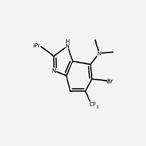 CC(C)c1nc2cc(C(F)(F)F)c(Br)c(N(C)C)c2[nH]1